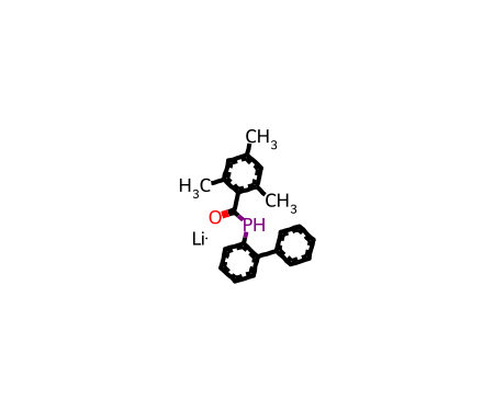 Cc1cc(C)c(C(=O)Pc2ccccc2-c2ccccc2)c(C)c1.[Li]